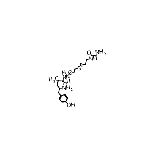 C[C@@H](C[C@@H](N)Cc1ccc(O)cc1)C(=O)NNOCCSSCCNC(=O)CN